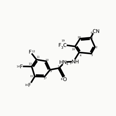 N#Cc1ccc(NNC(=O)c2cc(F)c(F)c(F)c2)c(C(F)(F)F)c1